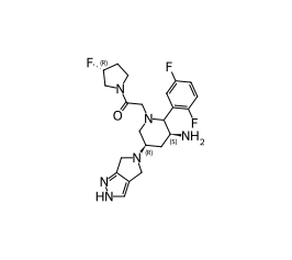 N[C@H]1C[C@@H](N2Cc3c[nH]nc3C2)CN(CC(=O)N2CC[C@@H](F)C2)C1c1cc(F)ccc1F